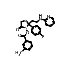 Cc1cccc(C(=O)ON2C(=O)CSC2(CCNc2ccccn2)c2ccc(F)cc2)c1